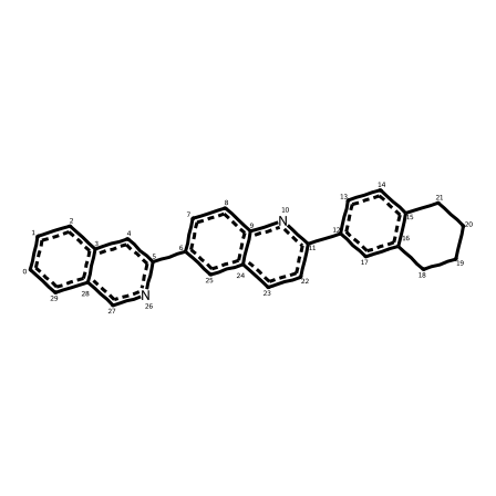 c1ccc2cc(-c3ccc4nc(-c5ccc6c(c5)CCCC6)ccc4c3)ncc2c1